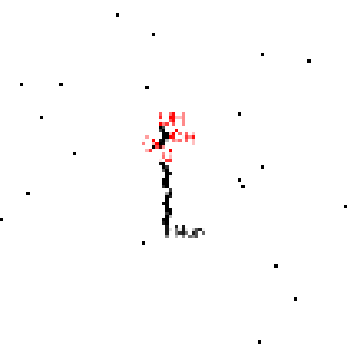 CCCCCCCCCCCCCCCCOC(=O)C(O)CO